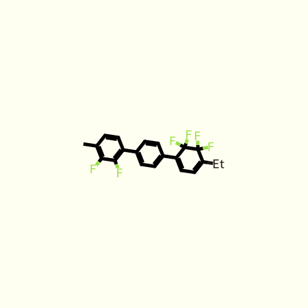 CCC1=CC=C(c2ccc(-c3ccc(C)c(F)c3F)cc2)C(F)(F)C1(F)F